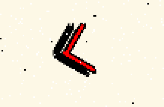 CCOC(C)=O.O.O.O.O.O.O.O.O.O.O.O.O.O.O.O.O.O.O.O.O.O.O.O.O.O.O.O.O.O.O.O.O.O.O.O.O.O.O.O.O.O.O.O.O.O.O.O.O.O.O.O.O.O.O.O.O.O.O.O.O.O.O.O.O.O.O.O.O.O.O.O.O.O.O.O.O.O.O.O.O.O.O.O.O.O.O.O.O.O.O.O.O.O.O.O.O.O.O.O.O